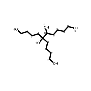 OCC[CH]CC(O)(CCCCO)C(O)CCCCO